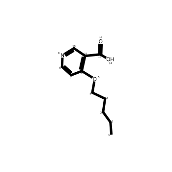 CCCCCOc1ccncc1C(=O)O